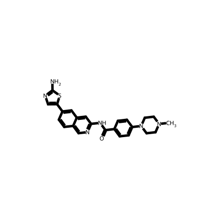 CN1CCN(c2ccc(C(=O)Nc3cc4cc(-c5cnc(N)s5)ccc4cn3)cc2)CC1